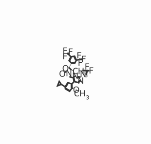 COc1ccc(C2CC2)cc1-c1cnc(N2CC(F)(F)C2)nc1CN1C(=O)O[C@H](c2cc(C(F)(F)F)cc(C(F)(F)F)c2)[C@@H]1C